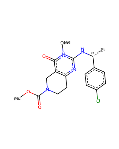 CC[C@@H](Nc1nc2c(c(=O)n1OC)CN(C(=O)OC(C)(C)C)CC2)c1ccc(Cl)cc1